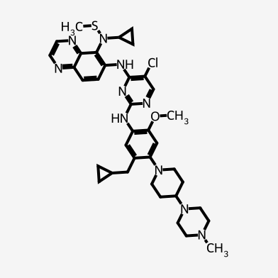 COc1cc(N2CCC(N3CCN(C)CC3)CC2)c(CC2CC2)cc1Nc1ncc(Cl)c(Nc2ccc3nccnc3c2N(SC)C2CC2)n1